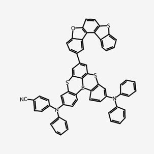 N#Cc1ccc(N(c2ccccc2)c2ccc3c(c2)Sc2cc(-c4ccc5oc6ccc7sc8ccccc8c7c6c5c4)cc4c2B3c2ccc(N(c3ccccc3)c3ccccc3)cc2S4)cc1